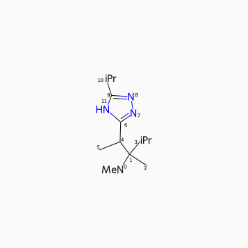 CNC(C)(C(C)C)C(C)c1nnc(C(C)C)[nH]1